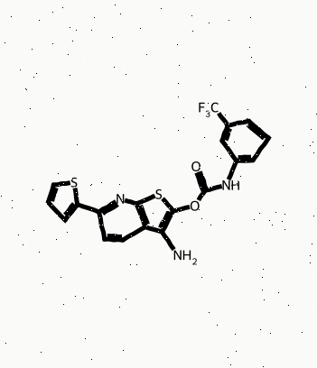 Nc1c(OC(=O)Nc2cccc(C(F)(F)F)c2)sc2nc(-c3cccs3)ccc12